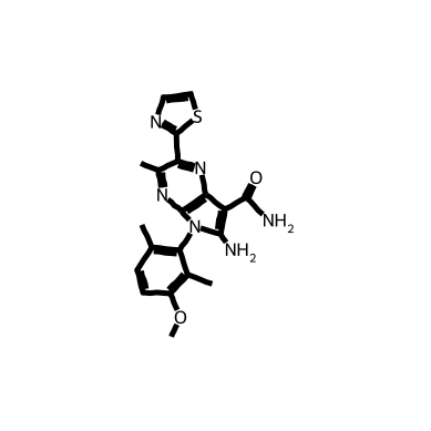 COc1ccc(C)c(-n2c(N)c(C(N)=O)c3nc(-c4nccs4)c(C)nc32)c1C